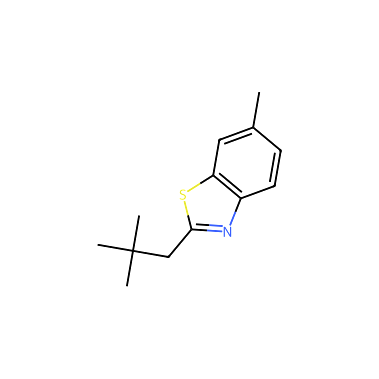 Cc1ccc2nc(CC(C)(C)C)sc2c1